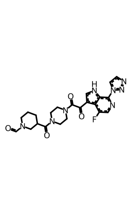 O=CN1CCCC(C(=O)N2CCN(C(=O)C(=O)c3c[nH]c4c(-n5ccnn5)ncc(F)c34)CC2)C1